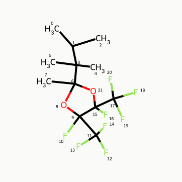 CC(C)C(C)(C)C1(C)OC(F)(C(F)(F)F)C(F)(C(F)(F)F)O1